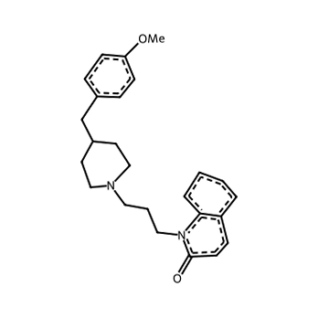 COc1ccc(CC2CCN(CCCn3c(=O)ccc4ccccc43)CC2)cc1